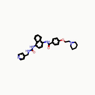 O=C(NCc1ccncc1)Nc1ccc(NC(=O)c2ccc(OCCN3CCCCC3)cc2)c2ccccc12